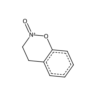 O=[N+]1CCc2ccccc2O1